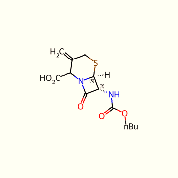 C=C1CS[C@H]2[C@H](NC(=O)OCCCC)C(=O)N2C1C(=O)O